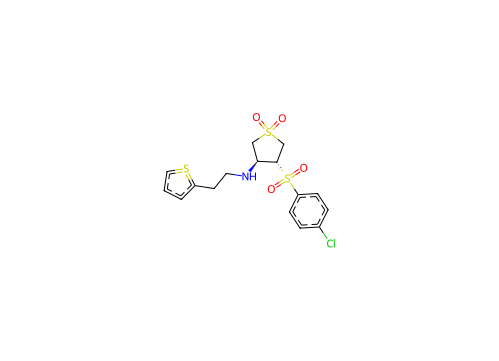 O=S1(=O)C[C@H](NCCc2cccs2)[C@@H](S(=O)(=O)c2ccc(Cl)cc2)C1